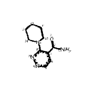 NC(=O)c1ccnnc1N1CCCCC1